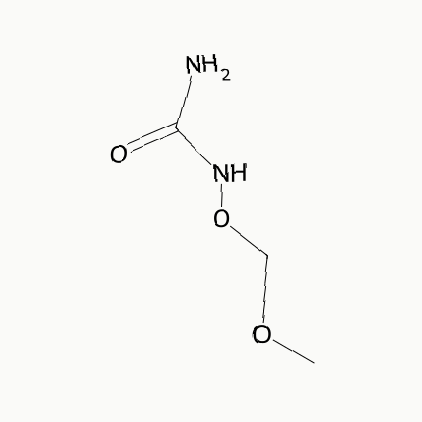 COCONC(N)=O